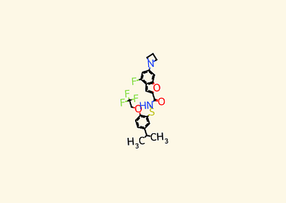 CC(C)c1ccc(OCC(F)(F)F)c(SNC(=O)c2cc3c(F)cc(N4CCC4)cc3o2)c1